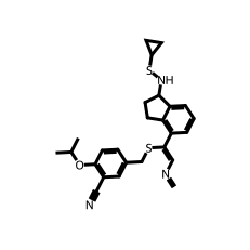 C=N/C=C(\SCc1ccc(OC(C)C)c(C#N)c1)c1cccc2c1CCC2NSC1CC1